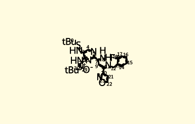 CC(C)(C)SNc1cnc(C(=N)/C=C(\NCc2ccccc2F)c2ccon2)nc1N[S+]([O-])C(C)(C)C